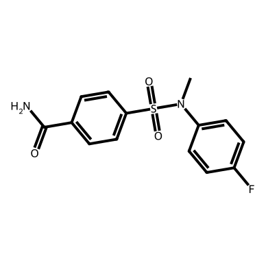 CN(c1ccc(F)cc1)S(=O)(=O)c1ccc(C(N)=O)cc1